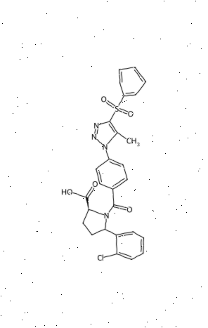 Cc1c(S(=O)(=O)c2ccccc2)nnn1-c1ccc(C(=O)N2C(c3ccccc3Cl)CC[C@H]2C(=O)O)cc1